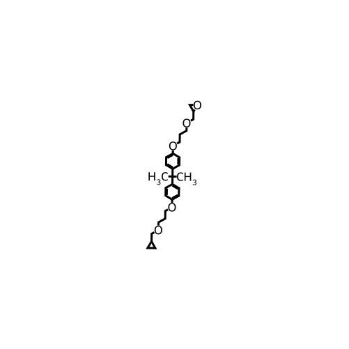 CC(C)(c1ccc(OCCCOCC2CC2)cc1)c1ccc(OCCCOCC2CO2)cc1